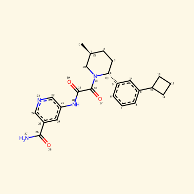 C[C@H]1CC[C@H](c2cccc(C3CCC3)c2)N(C(=O)C(=O)Nc2cncc(C(N)=O)c2)C1